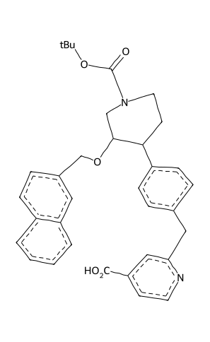 CC(C)(C)OC(=O)N1CCC(c2ccc(Cc3cc(C(=O)O)ccn3)cc2)C(OCc2ccc3ccccc3c2)C1